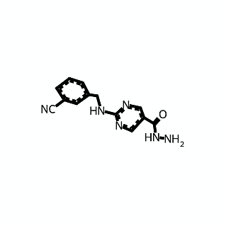 N#Cc1cccc(CNc2ncc(C(=O)NN)cn2)c1